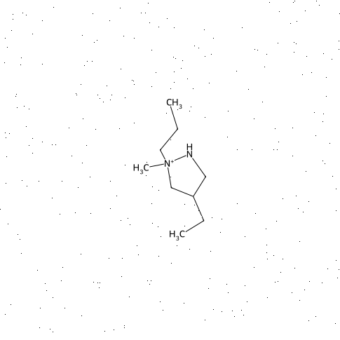 CCC[N+]1(C)CC(CC)CN1